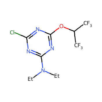 CCN(CC)c1nc(Cl)nc(OC(C(F)(F)F)C(F)(F)F)n1